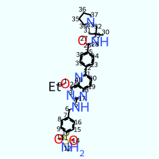 CCOc1nc(NCc2ccc(S(N)(=O)=O)cc2)nc2ccc(-c3ccc(C(=O)NC(C)(C)CN4CCCC4)cc3)nc12